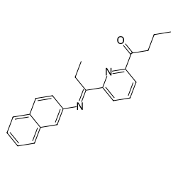 CCCC(=O)c1cccc(/C(CC)=N/c2ccc3ccccc3c2)n1